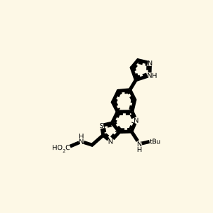 CC(C)(C)Nc1nc2cc(-c3ccn[nH]3)ccc2c2sc(CNC(=O)O)nc12